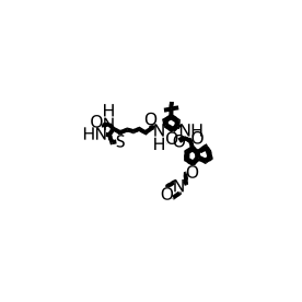 COc1c(NC(=O)CCCCC2SCC3NC(=O)NC32)cc(C(C)(C)C)cc1NC(=O)C(=O)c1ccc(OCCN2CCOCC2)c2ccccc12